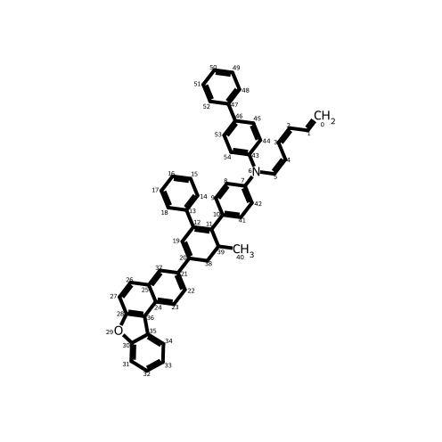 C=C/C=C\C=C/N(c1ccc(C2=C(c3ccccc3)C=C(c3ccc4c(ccc5oc6ccccc6c54)c3)CC2C)cc1)c1ccc(-c2ccccc2)cc1